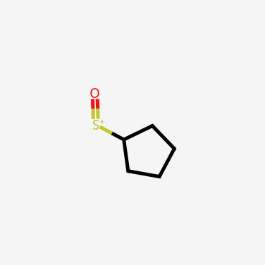 O=[S+]C1CCCC1